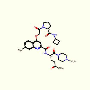 CCOC(=O)N1CCN(C(=O)[C@H](CCC(=O)OC)NC(=O)c2cc(OCC(=O)N3CCC[C@H]3C(=O)NC3CCC3)c3ccc(C)cc3n2)CC1